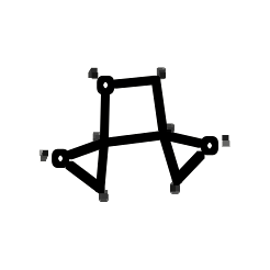 C1OC12COC21CO1